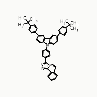 CC(C)(C)c1ccc(-c2ccc3c(c2)c2cc(-c4ccc(C(C)(C)C)cc4)ccc2n3-c2ccc(-c3nnc4c5ccccc5ccn34)cc2)cc1